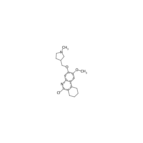 COc1cc2c3c(c(Cl)nc2cc1OCC1CCN(C)C1)CCCC3